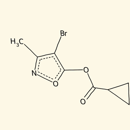 Cc1noc(OC(=O)C2CC2)c1Br